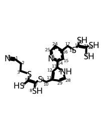 N#CCCS/C(S)=C(/S)SCC1=CC(c2cc(CSC(S)=C(S)S)ccn2)NC=C1